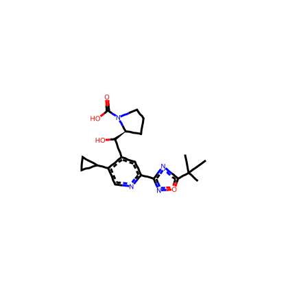 CC(C)(C)c1nc(-c2cc(C(O)[C@@H]3CCCN3C(=O)O)c(C3CC3)cn2)no1